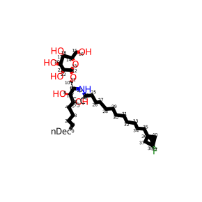 CCCCCCCCCCCCCC[C@@H](O)[C@@H](O)[C@H](COC1OC(CO)C(O)C(O)C1O)N[C@@H](CCCCCCCCCCCC12CC(F)(C1)C2)C(F)(F)F